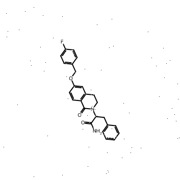 NC(=O)C(Cc1ccccc1)N1CCc2cc(OCc3ccc(F)cc3)ccc2C1=O